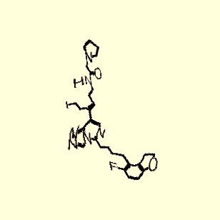 O=C(CN1CCCC1)NCC/C=C(\CCI)c1cnc(CCCCc2c(F)ccc3c2CCO3)n2cnnc12